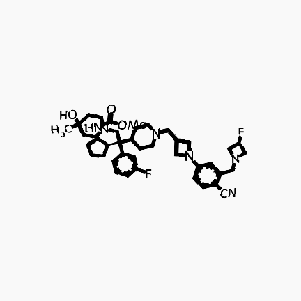 COC(=O)N[C@H]1CCC[C@@H]1C(CN1CCC(C)(O)CC1)(c1cccc(F)c1)C1CCN(CC2CN(c3ccc(C#N)c(CN4CC(F)C4)c3)C2)CC1